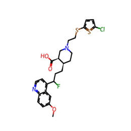 COc1ccc2nccc(C(F)CC[C@@H]3CCN(CCSc4ccc(Cl)s4)C[C@@H]3C(=O)O)c2c1